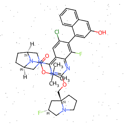 CC(C)(C)OC(=O)N1[C@@H]2CC[C@H]1CN(c1nc(OC[C@@]34CCCN3C[C@H](F)C4)nc3c(F)c(-c4cc(O)cc5ccccc45)c(Cl)cc13)C2